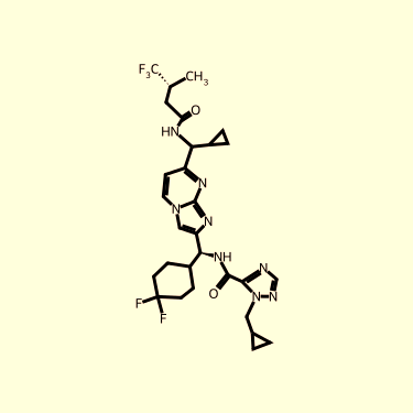 C[C@H](CC(=O)NC(c1ccn2cc([C@@H](NC(=O)c3ncnn3CC3CC3)C3CCC(F)(F)CC3)nc2n1)C1CC1)C(F)(F)F